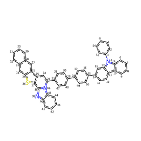 c1ccc(-n2c3ccccc3c3ccc(-c4ccc(-c5ccc(-c6cc7c8cc9ccccc9cc8sc7c7nc8ccccc8n67)cc5)cc4)cc32)cc1